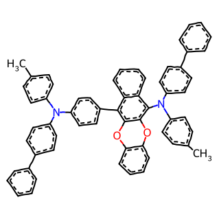 Cc1ccc(N(c2ccc(-c3ccccc3)cc2)c2ccc(-c3c4c(c(N(c5ccc(C)cc5)c5ccc(-c6ccccc6)cc5)c5ccccc35)Oc3ccccc3O4)cc2)cc1